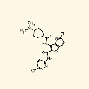 CN(C)[C@H]1CC[C@H](C(=O)Nc2c(C(=O)Nc3ccc(Cl)cn3)oc3ccc(Cl)nc23)CC1